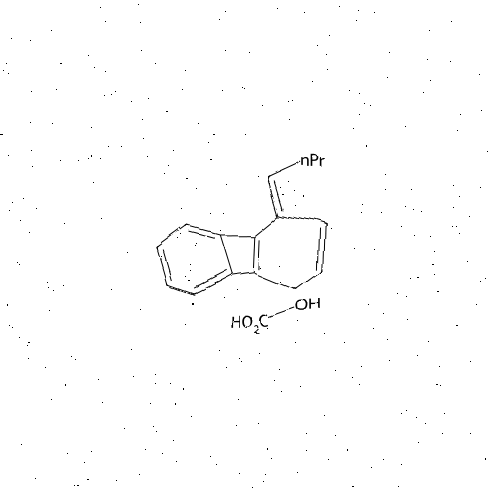 CCCC=C1C=CCC2=C1c1ccccc12.O=C(O)O